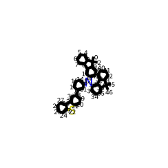 CC1(C)c2ccccc2-c2cc(N(c3cccc(-c4ccc5sc6ccccc6c5c4)c3)c3cccc4c3-c3ccccc3C4(C)C)ccc21